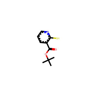 CC(C)(C)OC(=O)c1cccnc1S